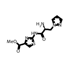 COC(=O)c1csc(NC(=O)[C@@H](N)Cn2cccn2)n1